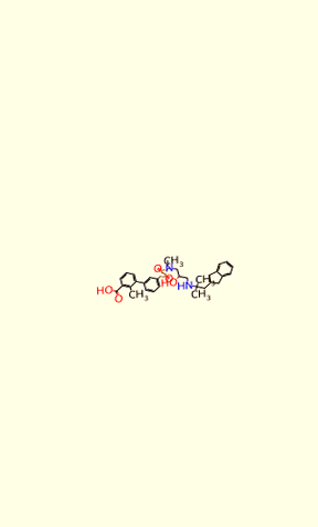 Cc1c(C(=O)O)cccc1-c1cccc(S(=O)(=O)N(C)CC(O)CNC(C)(C)CC2Cc3ccccc3C2)c1